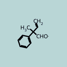 C=CC(C)([C]=O)c1ccccc1